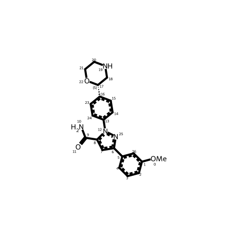 COc1cccc(-c2cc(C(N)=O)n(-c3ccc([C@H]4CNCCO4)cc3)n2)c1